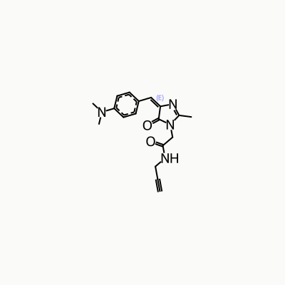 C#CCNC(=O)CN1C(=O)/C(=C\c2ccc(N(C)C)cc2)N=C1C